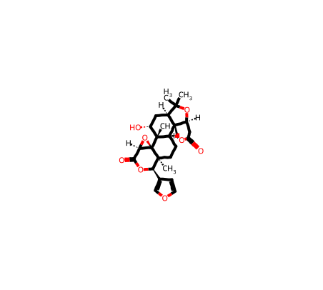 CC1(C)O[C@H]2CC(=O)OC[C@]23[C@H]2CC[C@@]4(C)[C@@H](c5ccoc5)OC(=O)[C@H]5O[C@]54[C@]2(C)[C@H](O)C[C@@H]13